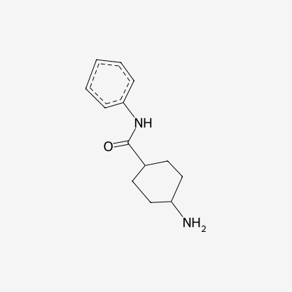 NC1CCC(C(=O)Nc2ccccc2)CC1